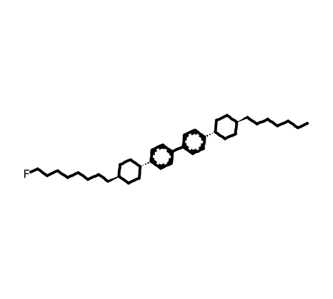 CCCCCCC[C@H]1CC[C@H](c2ccc(-c3ccc([C@H]4CC[C@H](CCCCCCCCF)CC4)cc3)cc2)CC1